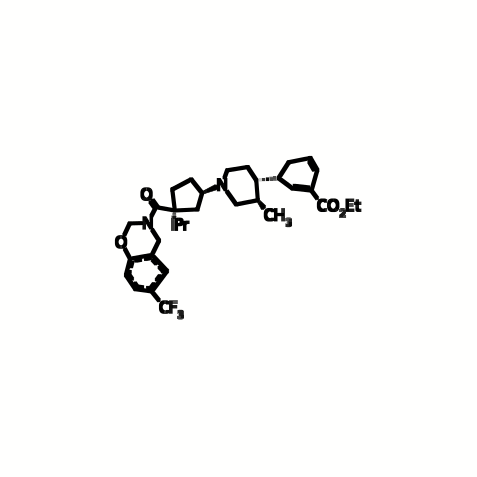 CCOC(=O)C1=CC([C@H]2CCN([C@@H]3CC[C@@](C(=O)N4COc5ccc(C(F)(F)F)cc5C4)(C(C)C)C3)C[C@@H]2C)CC=C1